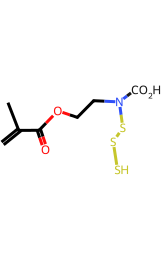 C=C(C)C(=O)OCCN(SSS)C(=O)O